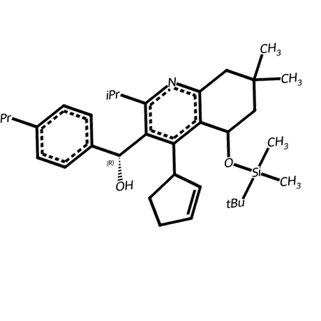 CC(C)c1ccc([C@@H](O)c2c(C(C)C)nc3c(c2C2C=CCC2)C(O[Si](C)(C)C(C)(C)C)CC(C)(C)C3)cc1